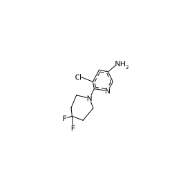 Nc1cnc(N2CCC(F)(F)CC2)c(Cl)c1